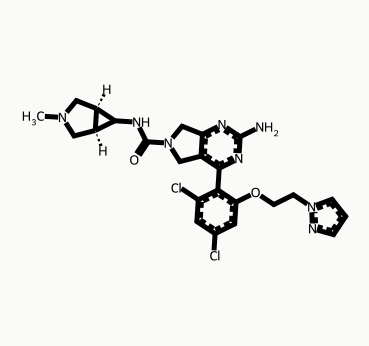 CN1C[C@@H]2C(NC(=O)N3Cc4nc(N)nc(-c5c(Cl)cc(Cl)cc5OCCn5cccn5)c4C3)[C@@H]2C1